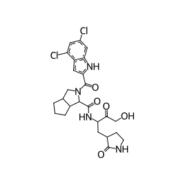 O=C1NCCC1CC(NC(=O)C1C2CCCC2CN1C(=O)c1cc2c(Cl)cc(Cl)cc2[nH]1)C(=O)CO